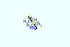 CC(C)(CSC(C)(C)c1ccc[nH]1)c1ccsc1